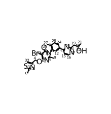 Cc1nc(COc2nc(C)n(-c3cc(-c4ccnc(CC(C)O)n4)ccc3C)c(=O)c2Br)cs1